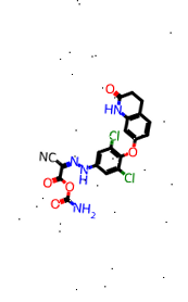 N#CC(=NNc1cc(Cl)c(Oc2ccc3c(c2)NC(=O)CC3)c(Cl)c1)C(=O)OC(N)=O